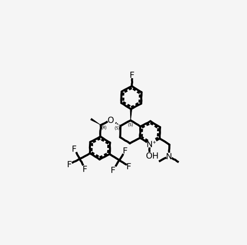 C[C@@H](O[C@H]1CCc2c(ccc(CN(C)C)[n+]2O)[C@@H]1c1ccc(F)cc1)c1cc(C(F)(F)F)cc(C(F)(F)F)c1